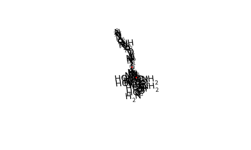 CN1CCN(c2ccc3nc(-c4ccc(OCCn5cc(CCCCc6cn(CC7OC(OC8[C@H](N9C%10[C@@H](O)[C@H](O)C(CN)O[C@@H]%109)C(N)C[C@@H](N)[C@H]8O)[C@@H](O)[C@H]7O[C@H]7O[C@@H](CN)[C@@H](O)C(O)C7N)nn6)nn5)cc4)[nH]c3c2)CC1